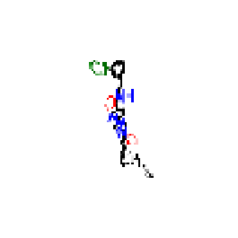 CCCCC(=O)N1CCN(c2ccc(C(=O)NCCc3cccc(Cl)c3)cn2)CC1